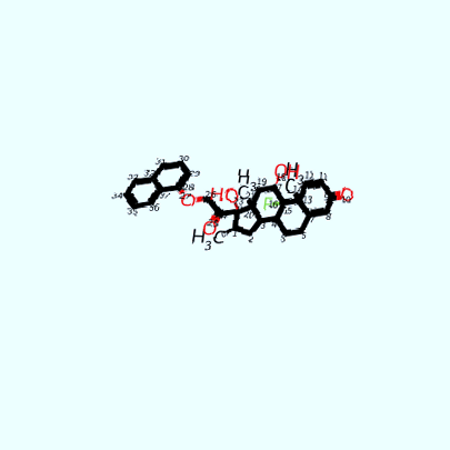 C[C@@H]1CC2C3CCC4=CC(=O)C=CC4(C)[C@@]3(F)[C@@H](O)CC2(C)[C@@]1(O)C(=O)COc1cccc2ccccc12